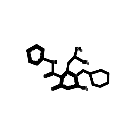 Cc1cc(=O)c(C(=O)Nc2ccccc2)c(CC(C)C)n1CC1CCCCC1